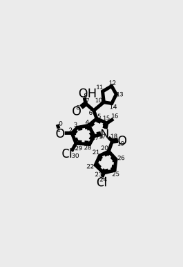 COc1cc2c(C(C(=O)O)C3CCCC3)c(C)n(C(=O)c3ccc(Cl)cc3)c2cc1Cl